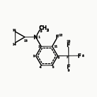 CN(c1cccc(C(F)(F)F)c1F)C1CC1